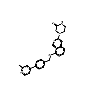 Cc1cc(-c2ccc(CNc3nccc4cc(N5CCNC(=O)C5)ncc34)cc2)ccn1